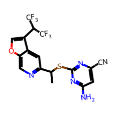 CC(Sc1nc(N)cc(C#N)n1)c1cc2c(C(C(F)(F)F)C(F)(F)F)coc2cn1